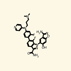 CN(C)CCCN(c1ccncc1)c1ccc(-c2ccc3c(C(N)=O)nn(-c4cc5c(N)noc5cc4O)c3c2F)c(F)c1